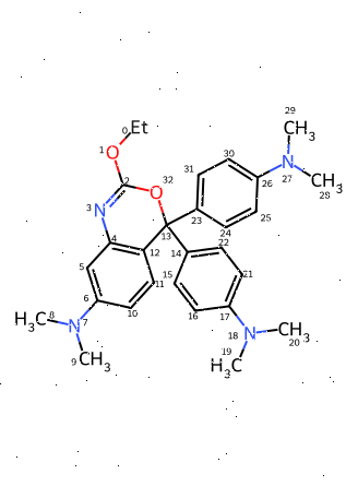 CCOC1=Nc2cc(N(C)C)ccc2C(c2ccc(N(C)C)cc2)(c2ccc(N(C)C)cc2)O1